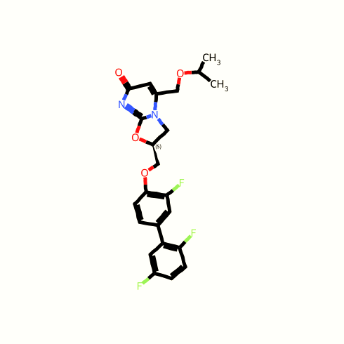 CC(C)OCc1cc(=O)nc2n1C[C@@H](COc1ccc(-c3cc(F)ccc3F)cc1F)O2